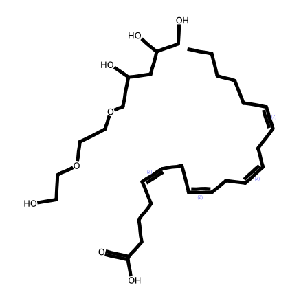 CCCCC/C=C\C/C=C\C/C=C\C/C=C\CCCC(=O)O.OCCOCCOCC(O)CC(O)CO